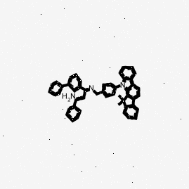 CC1(C)c2ccccc2-c2ccc3c4ccccc4n(-c4ccc(C/N=C(\C=C(/N)c5ccccc5)c5cccc(-c6ccccc6)c5)cc4)c3c21